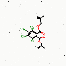 C=C(C)COC(=O)c1c(Cl)c(Cl)c(Cl)c(Cl)c1C(=O)OCC(=C)C